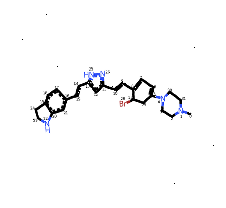 CN1CCN(C2=CC=C(/C=C/c3cc(/C=C/c4ccc5c(c4)NCC5)[nH]n3)C(Br)C2)CC1